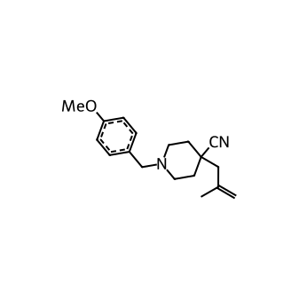 C=C(C)CC1(C#N)CCN(Cc2ccc(OC)cc2)CC1